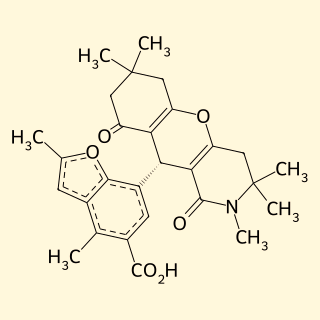 Cc1cc2c(C)c(C(=O)O)cc([C@@H]3C4=C(CC(C)(C)CC4=O)OC4=C3C(=O)N(C)C(C)(C)C4)c2o1